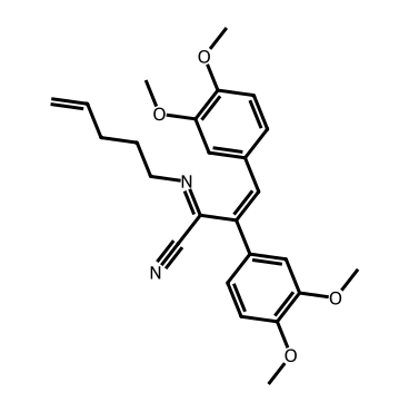 C=CCCCN=C(C#N)C(=Cc1ccc(OC)c(OC)c1)c1ccc(OC)c(OC)c1